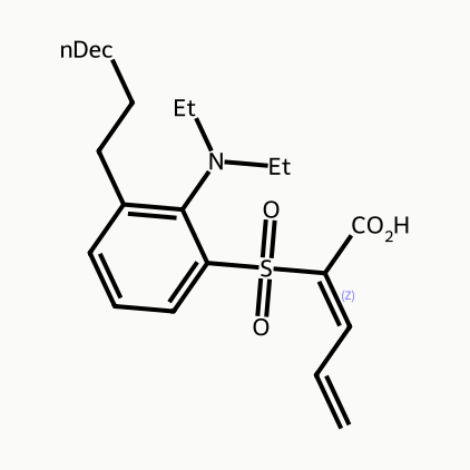 C=C/C=C(/C(=O)O)S(=O)(=O)c1cccc(CCCCCCCCCCCC)c1N(CC)CC